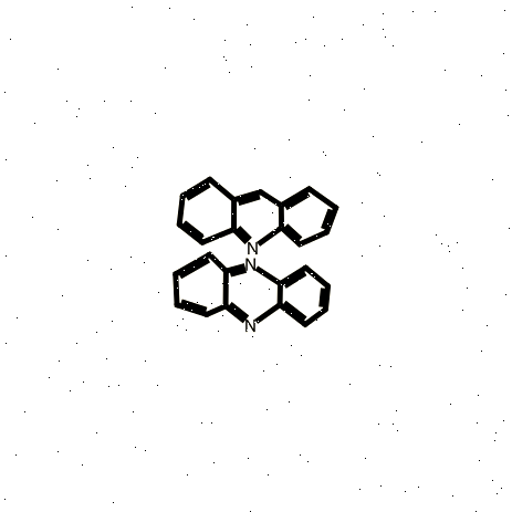 c1ccc2nc3ccccc3cc2c1.c1ccc2nc3ccccc3nc2c1